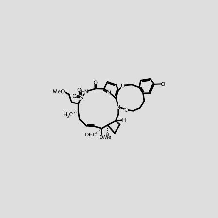 COCC[C@@H]1[C@@H](C)C/C=C/[C@](C=O)(OC)[C@@H]2CC[C@H]2CN2CCCCc3cc(Cl)ccc3COc3ccc(nc32)C(=O)NS1(=O)=O